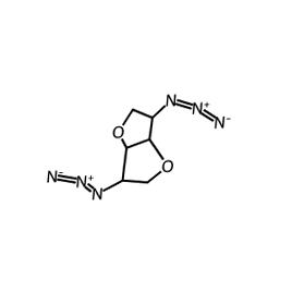 [N-]=[N+]=NC1COC2C(N=[N+]=[N-])COC12